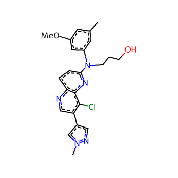 COc1cc(C)cc(N(CCCO)c2ccc3ncc(-c4cnn(C)c4)c(Cl)c3n2)c1